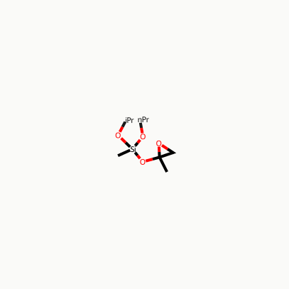 CCCO[Si](C)(OC(C)C)OC1(C)CO1